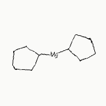 C1CC[CH]([Mg][CH]2CCCC2)C1